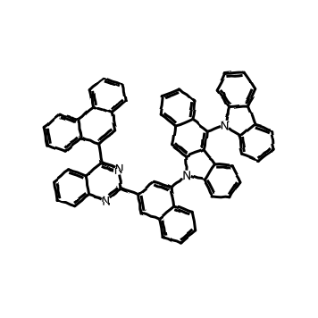 c1ccc2c(-n3c4ccccc4c4c(-n5c6ccccc6c6ccccc65)c5ccccc5cc43)cc(-c3nc(-c4cc5ccccc5c5ccccc45)c4ccccc4n3)cc2c1